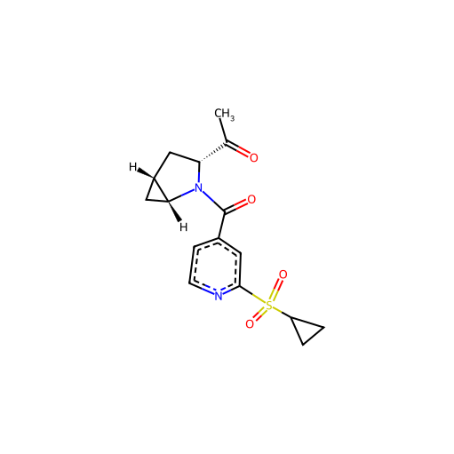 CC(=O)[C@H]1C[C@H]2C[C@H]2N1C(=O)c1ccnc(S(=O)(=O)C2CC2)c1